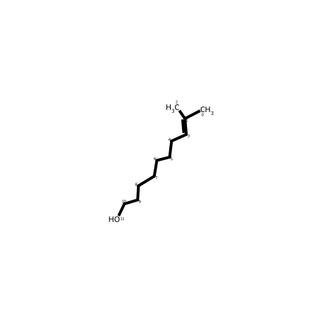 CC(C)=CCCCCCCCO